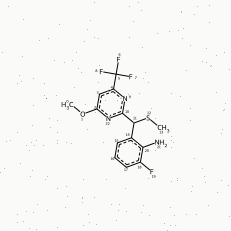 COc1cc(C(F)(F)F)nc(C(SC)c2cccc(F)c2N)n1